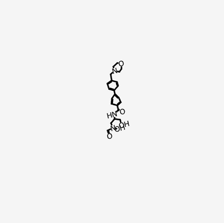 O=CN(O)CC(CO)NC(=O)c1ccc(-c2ccc(CN3CCOCC3)cc2)cc1